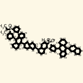 CC(C)P(=O)(c1ccccc1)c1cccc(-c2c3ccccc3c(-c3ccc4cc(-c5cccc6cc(P(C)(=O)c7cccc(-c8c9ccccc9c(-c9ccc%10ccccc%10c9)c9ccccc89)c7)ccc56)ccc4c3)c3ccccc23)c1